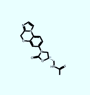 CC(=S)NC[C@H]1CN(c2ccc3c(c2)OCc2nccn2-3)C(=O)O1